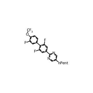 CCCCCc1cnc(-c2cc(F)c(-c3ccc(OC(F)(F)F)c(F)c3)c(F)c2)nc1